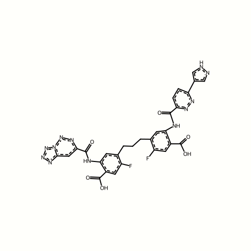 O=C(Nc1cc(CCCc2cc(NC(=O)c3cc4nnnn4nn3)c(C(=O)O)cc2F)c(F)cc1C(=O)O)c1ccc(-c2cn[nH]c2)nn1